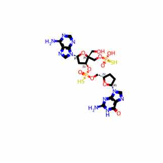 Nc1nc2c(ncn2[C@H]2CC[C@@H](COP(=O)(S)O[C@H]3C[C@H](n4cnc5c(N)ncnc54)O[C@]3(CO)COP(=O)(O)S)O2)c(=O)[nH]1